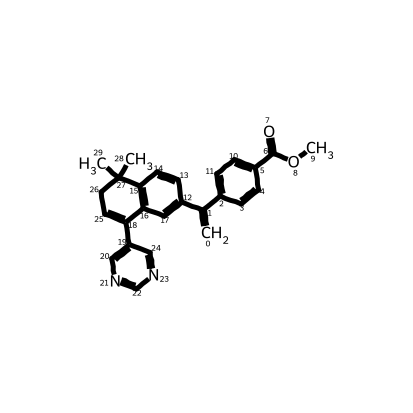 C=C(c1ccc(C(=O)OC)cc1)c1ccc2c(c1)C(c1cncnc1)=CCC2(C)C